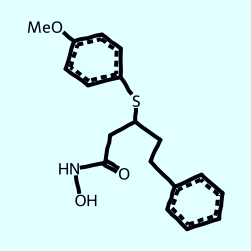 COc1ccc(SC(CCc2ccccc2)CC(=O)NO)cc1